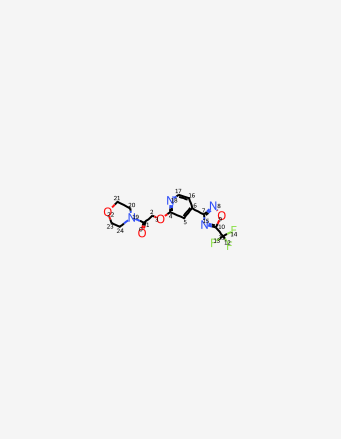 O=C(COc1cc(-c2noc(C(F)(F)F)n2)ccn1)N1CCOCC1